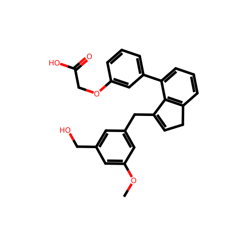 COc1cc(CO)cc(CC2=CCc3cccc(-c4cccc(OCC(=O)O)c4)c32)c1